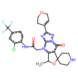 CC1OC2(CCNCC2)c2c1n(CC(=O)Nc1ccc(C(F)(F)F)cc1Cl)c1nc(C3=CCOCC3)nn1c2=O